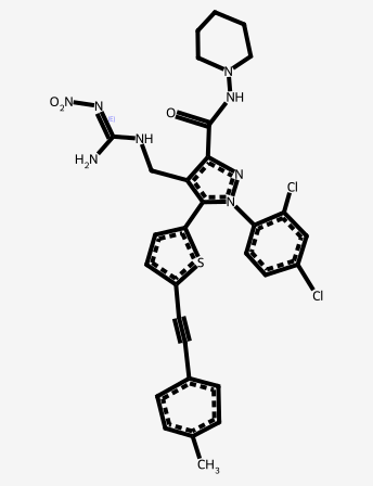 Cc1ccc(C#Cc2ccc(-c3c(CN/C(N)=N/[N+](=O)[O-])c(C(=O)NN4CCCCC4)nn3-c3ccc(Cl)cc3Cl)s2)cc1